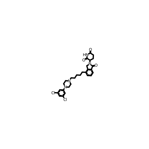 O=C1CCC(N2Cc3c(CCCCCN4CCN(c5cc(Cl)cc(Cl)c5)CC4)cccc3C2=O)C(=O)N1